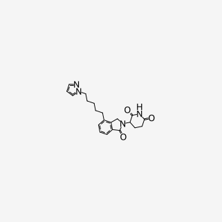 O=C1CCC(N2Cc3c(CCCCCn4cccn4)cccc3C2=O)C(=O)N1